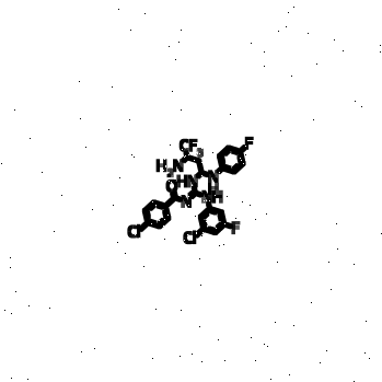 NC(CC(N/C(=N\C(=O)c1ccc(Cl)cc1)Nc1cc(F)cc(Cl)c1)Nc1ccc(F)cc1)C(F)(F)F